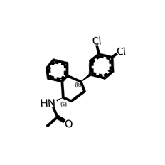 CC(=O)N[C@H]1CC[C@H](c2ccc(Cl)c(Cl)c2)c2ccccc21